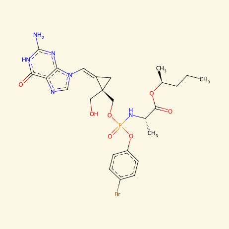 CCC[C@H](C)OC(=O)[C@H](C)NP(=O)(OC[C@]1(CO)C/C1=C/n1cnc2c(=O)[nH]c(N)nc21)Oc1ccc(Br)cc1